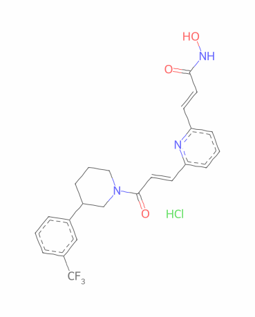 Cl.O=C(/C=C/c1cccc(/C=C/C(=O)N2CCCC(c3cccc(C(F)(F)F)c3)C2)n1)NO